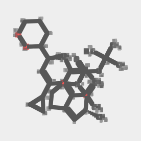 C=C(C)C(/C1=C\[C@@H](C)CN(C(=O)OC(C)(C)C)CCC1)=C(C(=C\C(C)C12CCC(CC1)CC2)/C1CC1)\C(C)=N/C